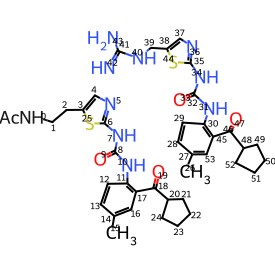 CC(=O)NCCc1cnc(NC(=O)Nc2ccc(C)cc2C(=O)C2CCCC2)s1.Cc1ccc(NC(=O)Nc2ncc(CNC(=N)N)s2)c(C(=O)C2CCCC2)c1